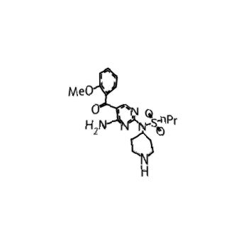 CCCS(=O)(=O)N(c1ncc(C(=O)c2ccccc2OC)c(N)n1)C1CCNCC1